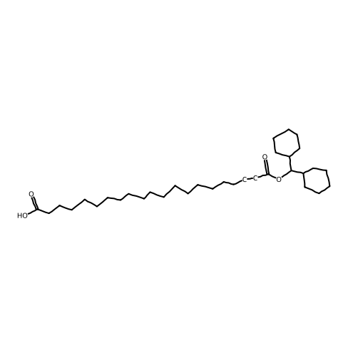 O=C(O)CCCCCCCCCCCCCCCCCCCC(=O)OC(C1CCCCC1)C1CCCCC1